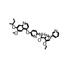 CCOc1cn(-c2cccnc2)nc1C(=O)Nc1ccc(Oc2ccnc3cc(OC(C)CC)c(OC)cc23)cn1